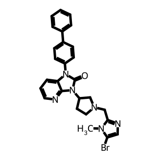 Cn1c(Br)cnc1CN1CCC(n2c(=O)n(-c3ccc(-c4ccccc4)cc3)c3cccnc32)C1